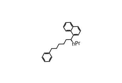 CCC[C](CCCCCc1ccccc1)c1cccc2ccccc12